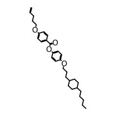 C=CCCCOc1ccc(C(=O)Oc2ccc(OCCCC3CCC(CCCCC)CC3)cc2)cc1